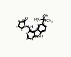 CC(C)(O)c1ccc2[nH]c3ncnc(NN4CCCC4=O)c3c2c1